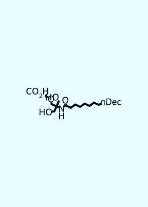 CCCCCCCCCCCCCCCCCC(=O)NC(CO)(CO)COCC(=O)O